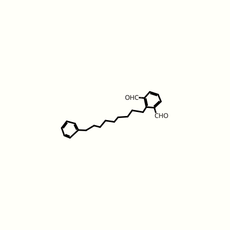 O=Cc1cccc(C=O)c1CCCCCCCCCc1ccccc1